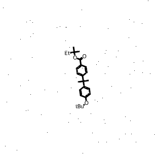 CCC(C)(C)OC(=O)c1ccc(C(C)(C)c2ccc(OC(C)(C)C)cc2)cc1